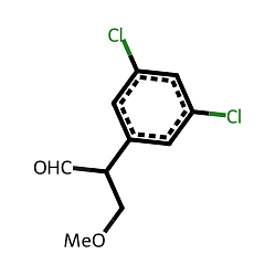 COCC(C=O)c1cc(Cl)cc(Cl)c1